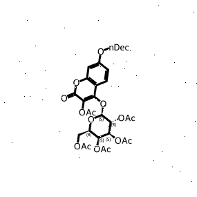 CCCCCCCCCCOc1ccc2c(O[C@@H]3O[C@H](COC(C)=O)[C@H](OC(C)=O)[C@H](OC(C)=O)[C@H]3OC(C)=O)c(OC(C)=O)c(=O)oc2c1